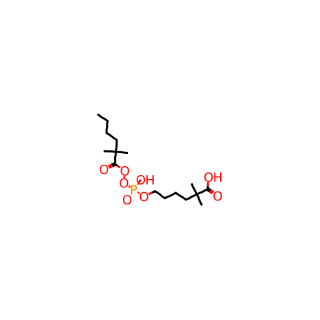 CCCCC(C)(C)C(=O)OOP(=O)(O)OCCCCC(C)(C)C(=O)O